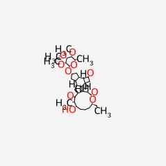 CC[C@H]1CCC[C@H](O)[C@@H](C)C(=O)C2=CC3[C@@H]4C[C@H](OC5OC(C)C(OC)C(OC)C5OC)CC4[C@@H]4C(=O)C[C@@H]4[C@H]3[C@@H]2CC(=O)O1